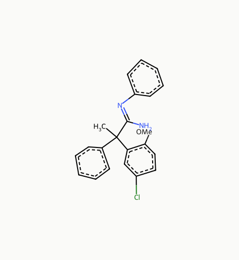 COc1ccc(Cl)cc1C(C)(C(N)=Nc1ccccc1)c1ccccc1